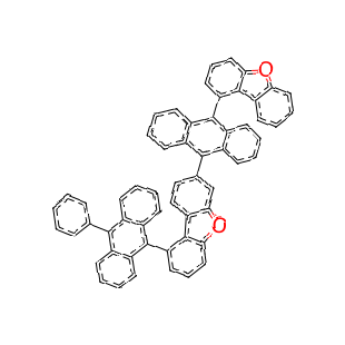 c1ccc(-c2c3ccccc3c(-c3cccc4oc5cc(-c6c7ccccc7c(-c7cccc8oc9ccccc9c78)c7ccccc67)ccc5c34)c3ccccc23)cc1